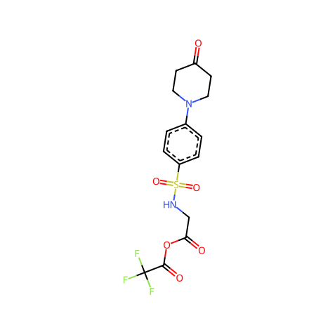 O=C1CCN(c2ccc(S(=O)(=O)NCC(=O)OC(=O)C(F)(F)F)cc2)CC1